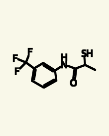 CC(S)C(=O)Nc1cccc(C(F)(F)F)c1